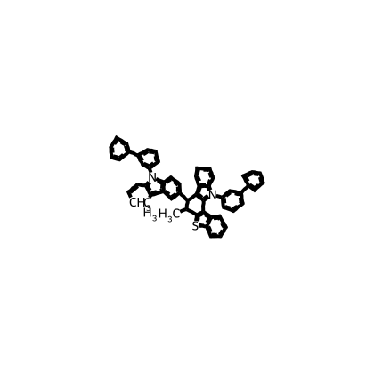 C/C=C\c1c(C)c2cc(C3c4c(n(-c5cccc(-c6ccccc6)c5)c5ccccc45)-c4c(sc5ccccc45)C3C)ccc2n1-c1cccc(-c2ccccc2)c1